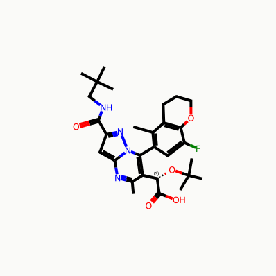 Cc1nc2cc(C(=O)NCC(C)(C)C)nn2c(-c2cc(F)c3c(c2C)CCCO3)c1[C@H](OC(C)(C)C)C(=O)O